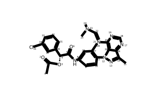 CC(=O)O[C@@H](C(=O)Nc1ccc(-n2nc(C)c3ncnc(/N=C/N(C)C)c32)c(C)c1)c1cccc(Cl)c1